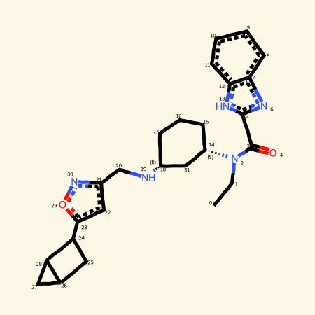 CCN(C(=O)c1nc2ccccc2[nH]1)[C@H]1CCC[C@@H](NCc2cc(C3CC4CC43)on2)C1